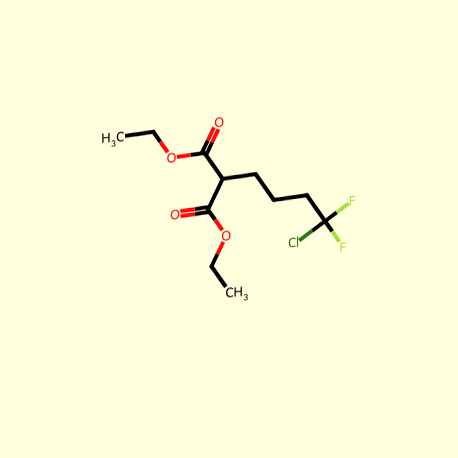 CCOC(=O)C(CCCC(F)(F)Cl)C(=O)OCC